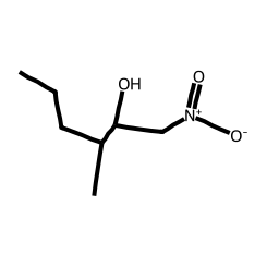 CCCC(C)C(O)C[N+](=O)[O-]